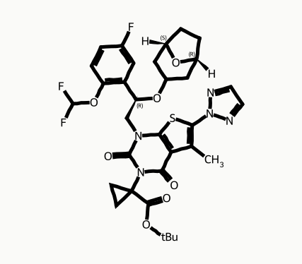 Cc1c(-n2nccn2)sc2c1c(=O)n(C1(C(=O)OC(C)(C)C)CC1)c(=O)n2C[C@H](OC1C[C@H]2CC[C@@H](C1)O2)c1cc(F)ccc1OC(F)F